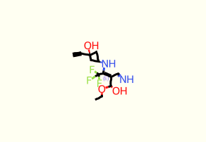 C#C[C@]1(O)C[C@@H](N/C(=C(\C=N)C(O)OCC)C(F)(F)F)C1